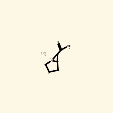 Cl.O=C(O)C1C2CCCN21